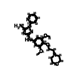 COc1cc(Nc2nc(N)n(-c3ccccn3)n2)cc(OC)c1OCCN1CCOCC1